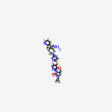 N[C@@H]1c2cccnc2CC12CCN(c1cnc(Sc3ccnc4c3OCC3CN(C5CC5)C(=O)N43)cn1)CC2